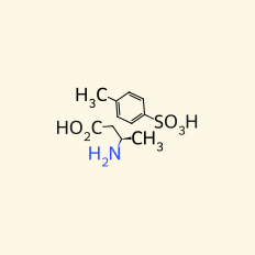 C[C@@H](N)CC(=O)O.Cc1ccc(S(=O)(=O)O)cc1